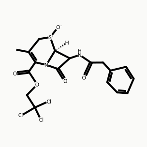 CC1=C(C(=O)OCC(Cl)(Cl)Cl)N2C(=O)C(NC(=O)Cc3ccccc3)[C@@H]2[S+]([O-])C1